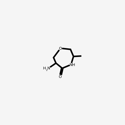 CC1COCC(N)C(=O)N1